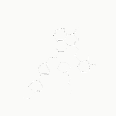 COCCN1CCC(N(Cc2ccc(-c3ccc(CF)cc3)cc2)C(=O)Cn2c(CCc3cccc(F)c3F)nc(=O)c3cccnc32)CC1